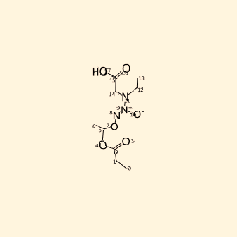 CCC(=O)OC(C)ON=[N+]([O-])N(CC)CC(=O)O